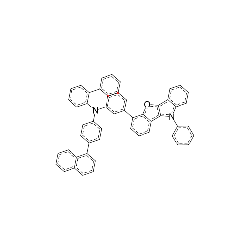 c1ccc(-c2ccccc2N(c2ccc(-c3cccc4ccccc34)cc2)c2cccc(-c3cccc4c3oc3c5ccccc5n(-c5ccccc5)c43)c2)cc1